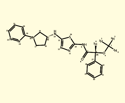 [2H]C([2H])([2H])O[C@@]([2H])(C(=O)Nc1nnc(N[C@@H]2CCN(c3cccnn3)C2)s1)c1ccccc1